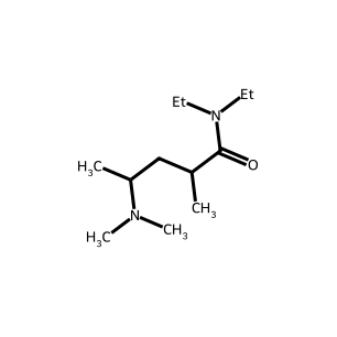 CCN(CC)C(=O)C(C)CC(C)N(C)C